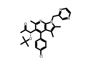 CC(=O)[C@@H](OC(C)(C)C)c1c(C)nc2c(c(C)c(C)n2Cc2cnccn2)c1-c1ccc(Cl)cc1